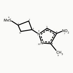 CSC1CC(n2cc([N+](=O)[O-])c(C)n2)C1